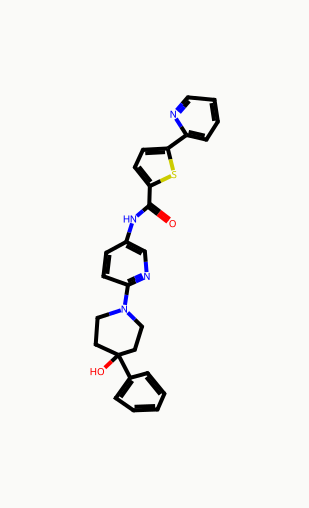 O=C(Nc1ccc(N2CCC(O)(c3ccccc3)CC2)nc1)c1ccc(-c2ccccn2)s1